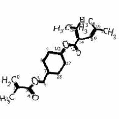 C=C(C)C(=O)OCC1CCC(OC(=O)C(C=C(C)C)=C(C)C)CC1